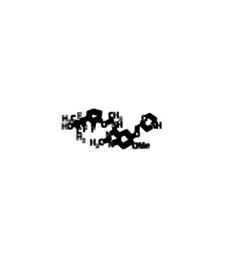 COc1cc2nc(C)nc(NC(C)Oc3cccc(C(F)(F)C(C)(C)O)c3F)c2cc1OC[C@H]1CNCCO1